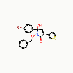 O=C1C(c2ccsc2)=CC(O)(c2ccc(Br)cc2)N1OCc1ccccc1